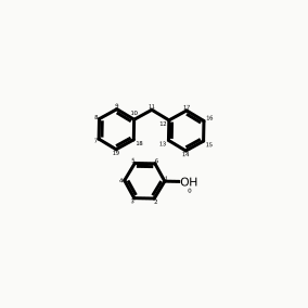 Oc1ccccc1.c1ccc(Cc2ccccc2)cc1